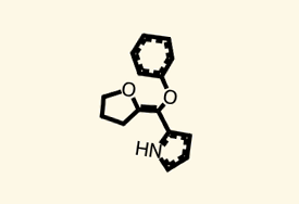 c1ccc(OC(=C2CCCO2)c2ccc[nH]2)cc1